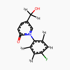 [2H]c1c([2H])c(-n2cc(C([2H])([2H])O)ccc2=O)c([2H])c([2H])c1F